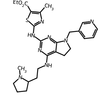 CCOC(=O)c1sc(Nc2nc(NCCC3CCCN3C)c3c(n2)N(Cc2cccnc2)CC3)nc1C